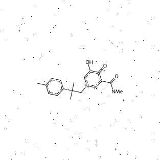 CNC(=O)c1nn(CC(C)(C)c2ccc(C)cc2)cc(O)c1=O